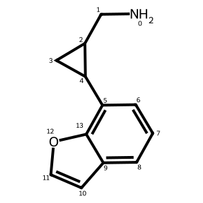 NCC1CC1c1cccc2ccoc12